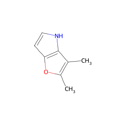 Cc1oc2cc[nH]c2c1C